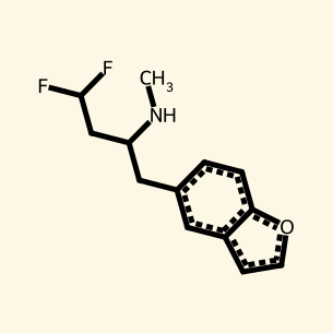 CNC(Cc1ccc2occc2c1)CC(F)F